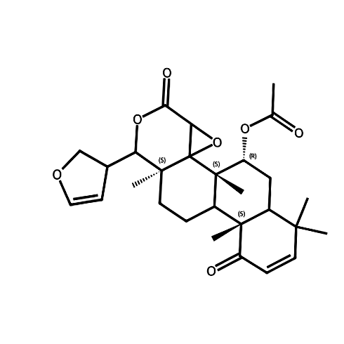 CC(=O)O[C@@H]1CC2C(C)(C)C=CC(=O)[C@]2(C)C2CC[C@@]3(C)C(C4C=COC4)OC(=O)C4OC43[C@@]21C